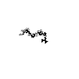 CC(C)(C)OC(=O)N1CC(CCCNc2cccc(SNC(=O)c3ccc(-n4ccc(OCCC(C5CC5)C5CC5)n4)nc3Cl)n2)CC1(C)C